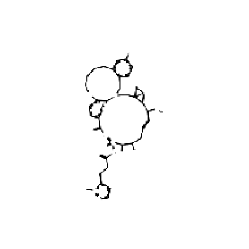 COC1/C=C/CC(C)C(C)S(=O)(NC(=O)CCc2ccnn2C)=NC(=O)c2ccc3c(c2)N(Cc2ccc(Cl)cc2CCCCO3)CC23CC2C13